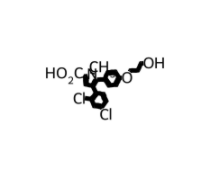 Cn1c(C(=O)O)cc(-c2ccc(Cl)cc2Cl)c1-c1ccc(OCCCO)cc1